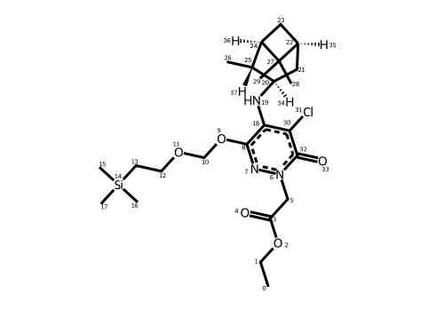 CCOC(=O)Cn1nc(OCOCC[Si](C)(C)C)c(N[C@@H]2C[C@@H]3C[C@H]([C@H]2C)C3(C)C)c(Cl)c1=O